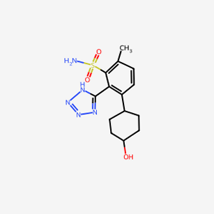 Cc1ccc(C2CCC(O)CC2)c(-c2nnn[nH]2)c1S(N)(=O)=O